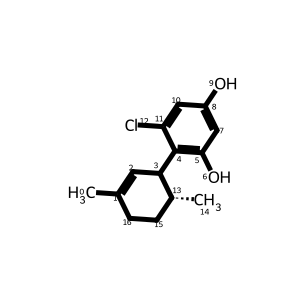 CC1=CC(c2c(O)cc(O)cc2Cl)[C@H](C)CC1